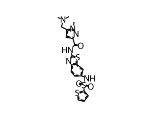 CN(C)Cc1cc(C(=O)Nc2nc3ccc(NS(=O)(=O)c4cccs4)cc3s2)nn1C